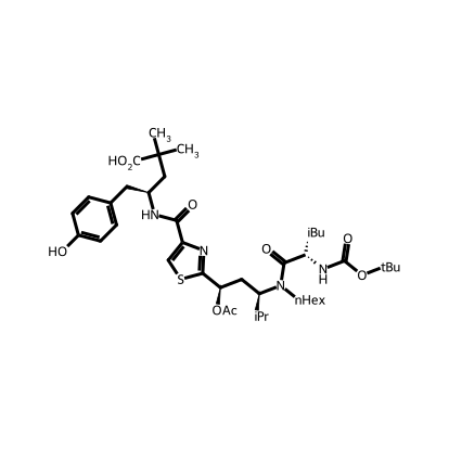 CCCCCCN(C(=O)[C@@H](NC(=O)OC(C)(C)C)[C@@H](C)CC)[C@H](C[C@@H](OC(C)=O)c1nc(C(=O)N[C@@H](Cc2ccc(O)cc2)CC(C)(C)C(=O)O)cs1)C(C)C